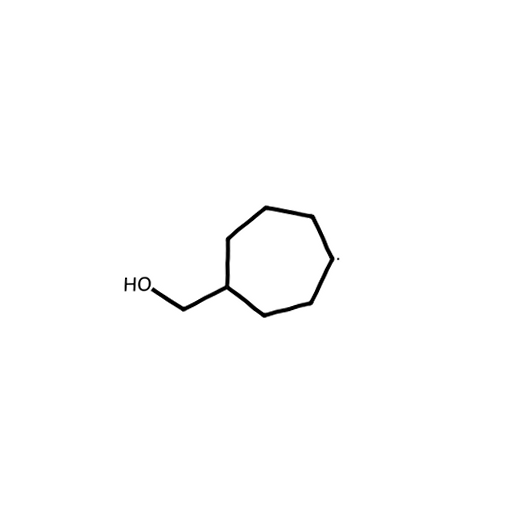 OCC1CC[CH]CCC1